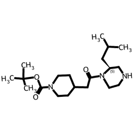 CC(C)C[C@H]1CNCCN1C(=O)CC1CCN(C(=O)OC(C)(C)C)CC1